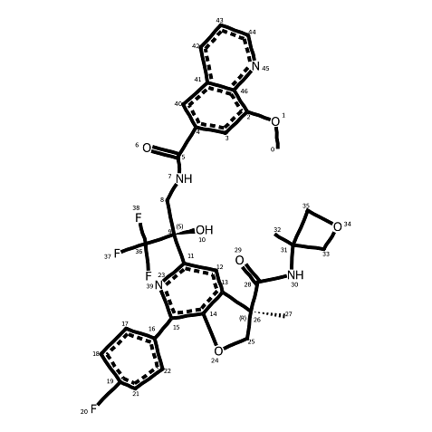 COc1cc(C(=O)NC[C@](O)(c2cc3c(c(-c4ccc(F)cc4)n2)OC[C@]3(C)C(=O)NC2(C)COC2)C(F)(F)F)cc2cccnc12